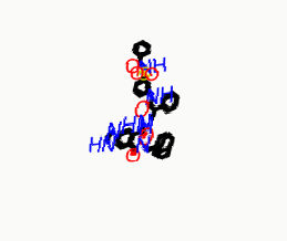 O=C(NS(=O)(=O)c1cccc(NC(=O)C(CNC(=O)c2cc3nc[nH]c3cc2C(=O)NCC23CC4CC(CC(C4)C2)C3)c2ccccc2)c1)c1ccccc1